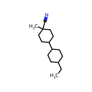 CCC1CCC(C2CCC(C)(C#N)CC2)CC1